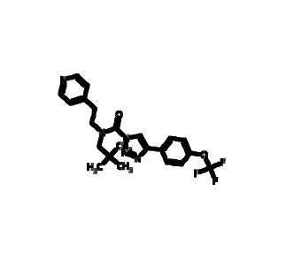 CC(C)(C)CN(CCc1ccncc1)C(=O)n1cc(-c2ccc(OC(F)(F)F)cc2)nn1